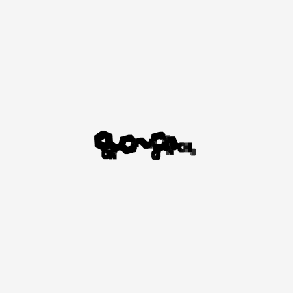 Cc1cn2c(n1)C(=O)N(CCN1CCC(c3noc4ccccc34)CC1)CC2